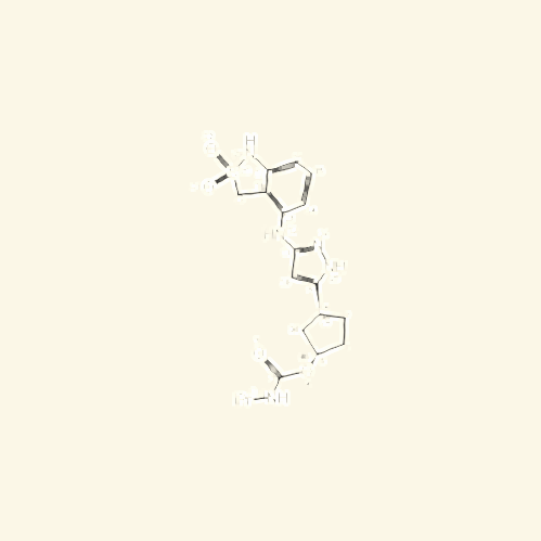 CC(C)NC(=O)O[C@@H]1CC[C@H](c2cc(Nc3cccc4c3CS(=O)(=O)N4)n[nH]2)C1